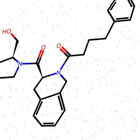 O=C([C@@H]1Cc2ccccc2CN1C(=O)CCCc1ccccc1)N1CCC[C@H]1CO